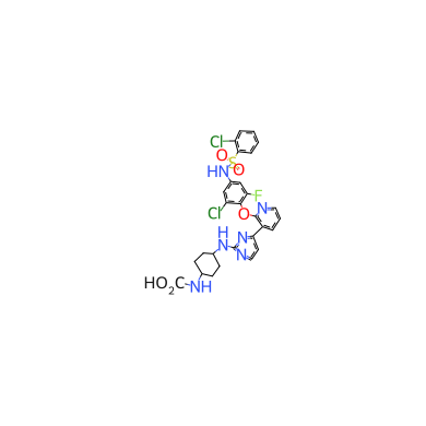 O=C(O)NC1CCC(Nc2nccc(-c3cccnc3Oc3c(F)cc(NS(=O)(=O)c4ccccc4Cl)cc3Cl)n2)CC1